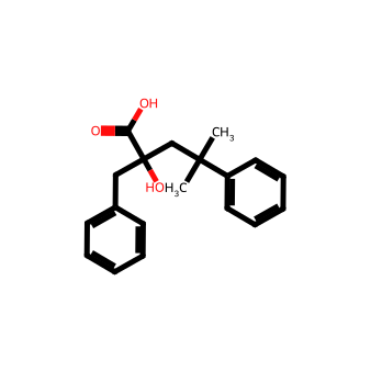 CC(C)(CC(O)(Cc1ccccc1)C(=O)O)c1ccccc1